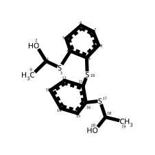 CC(O)Sc1ccccc1Sc1ccccc1SC(C)O